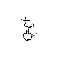 C[C@@H]1C=CCCN1C(=O)OC(C)(C)C